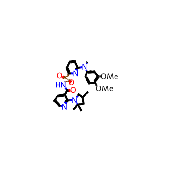 COc1ccc(N(C)c2cccc(S(=O)(=O)NC(=O)c3cccnc3N3CC(C)CC3(C)C)n2)cc1OC